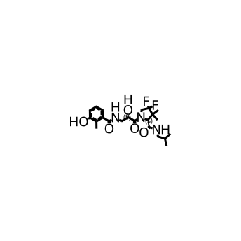 Cc1c(O)cccc1C(=O)NC[C@H](O)C(=O)N1CC(F)(F)C(C)(C)[C@H]1C(=O)NCC(C)C